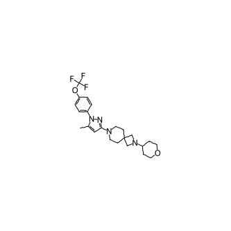 Cc1cc(N2CCC3(CC2)CN(C2CCOCC2)C3)nn1-c1ccc(OC(F)(F)F)cc1